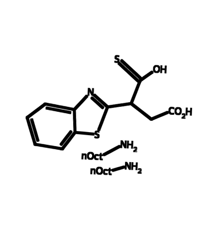 CCCCCCCCN.CCCCCCCCN.O=C(O)CC(C(O)=S)c1nc2ccccc2s1